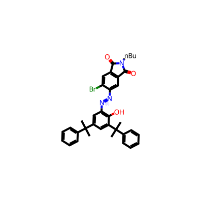 CCCCN1C(=O)c2cc(Br)c(/N=N/c3cc(C(C)(C)c4ccccc4)cc(C(C)(C)c4ccccc4)c3O)cc2C1=O